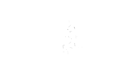 [O-][S+](c1cc(C(F)(F)F)cc(C(F)(F)F)c1)C(F)c1ccc(Cl)cn1